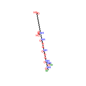 O=C(O)CCCCCCCCCCCCCCCCC(=O)N[C@@H](CCCCNC(=O)CCOCCOCCNC(=O)CCOCCOCCNC(=O)[C@H](CCCNC(=O)CBr)NC(=O)CBr)C(=O)O